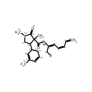 C=C/C=C\C=C(/CF)NC(=O)C1(C)C(=O)N(C)CC1C1C=C(C(F)(F)F)C=CC1